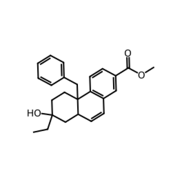 CCC1(O)CCC2(Cc3ccccc3)c3ccc(C(=O)OC)cc3C=CC2C1